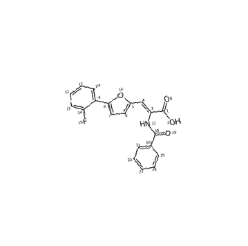 O=C(O)C(=Cc1ccc(-c2ccccc2F)o1)NC(=O)c1ccccc1